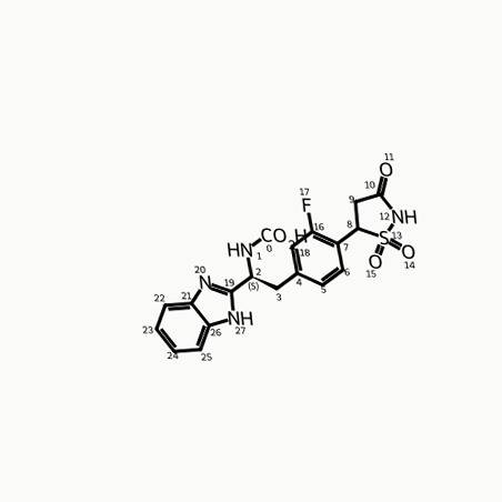 O=C(O)N[C@@H](Cc1ccc(C2CC(=O)NS2(=O)=O)c(F)c1)c1nc2ccccc2[nH]1